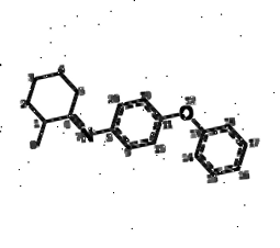 CC1CCCC/C1=N\c1ccc(Oc2ccccc2)cc1